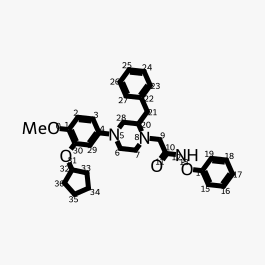 COc1ccc(N2CCN(CC(=O)NOc3ccccc3)C(Cc3ccccc3)C2)cc1OC1CCCC1